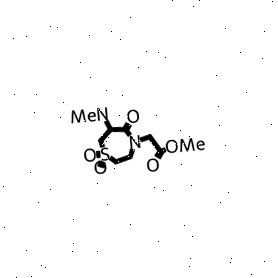 CNC1CS(=O)(=O)CCN(CC(=O)OC)C1=O